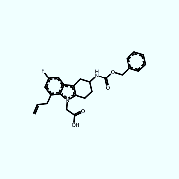 C=CCc1cc(F)cc2c3c(n(CC(=O)O)c12)CCC(NC(=O)OCc1ccccc1)C3